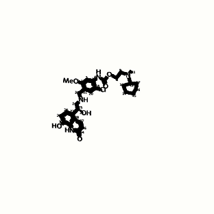 COc1cc(NC(=O)OCCN(C)C2CC[CH]CC2)c(Cl)cc1CNC[C@@H](O)c1ccc(O)c2[nH]c(=O)ccc12